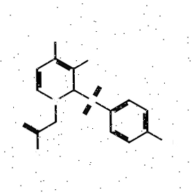 Cc1ccc(S(=O)(=O)C2C(Cl)=C(I)C=CN2CC(N)=O)cc1